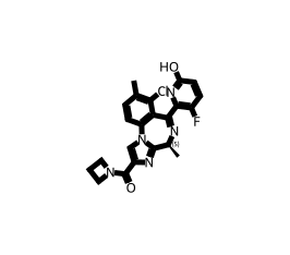 Cc1ccc2c(c1Cl)C(c1nc(O)ccc1F)=N[C@@H](C)c1nc(C(=O)N3CCC3)cn1-2